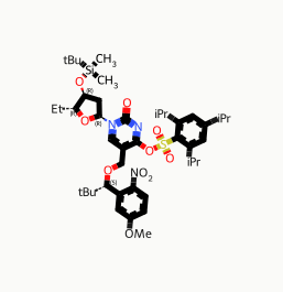 CC[C@H]1O[C@@H](n2cc(CO[C@H](c3cc(OC)ccc3[N+](=O)[O-])C(C)(C)C)c(OS(=O)(=O)c3c(C(C)C)cc(C(C)C)cc3C(C)C)nc2=O)C[C@H]1O[Si](C)(C)C(C)(C)C